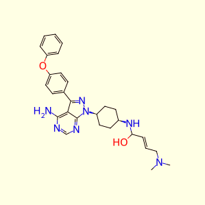 CN(C)C/C=C/C(O)N[C@H]1CC[C@@H](n2nc(-c3ccc(Oc4ccccc4)cc3)c3c(N)ncnc32)CC1